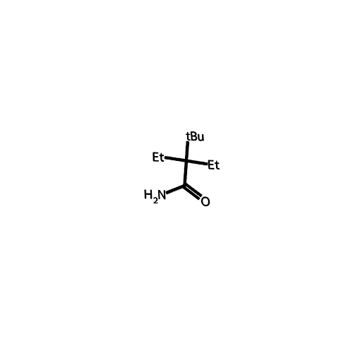 CCC(CC)(C(N)=O)C(C)(C)C